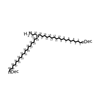 CCCCCCCCCCCCCCCCCCCCCCCCCCCCN(CCN)CCCCCCCCCCCCCCCCCCCCCCCCCCCC